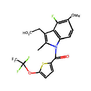 COc1ccc2c(c1F)c(CC(=O)O)c(C)n2C(=O)c1ccc(OC(F)(F)C(F)(F)F)s1